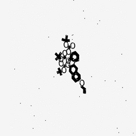 C=CCOc1ccc2c(c1)C[C@H](c1cccc(OC(=O)OC(C)(C)C)c1OC(=O)OC(C)(C)C)[C@@H](OC(=O)OC(C)(C)C)C2